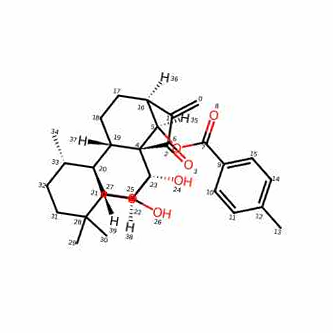 C=C1C(=O)[C@]23[C@H](OC(=O)c4ccc(C)cc4)[C@H]1CC[C@H]2[C@@]12CO[C@@]3(O)[C@@H](O)[C@@H]1C(C)(C)CC[C@@H]2C